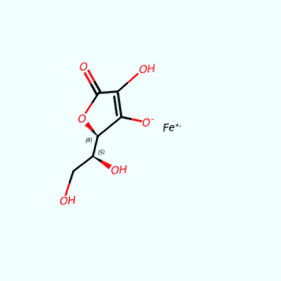 O=C1O[C@H]([C@@H](O)CO)C([O-])=C1O.[Fe+]